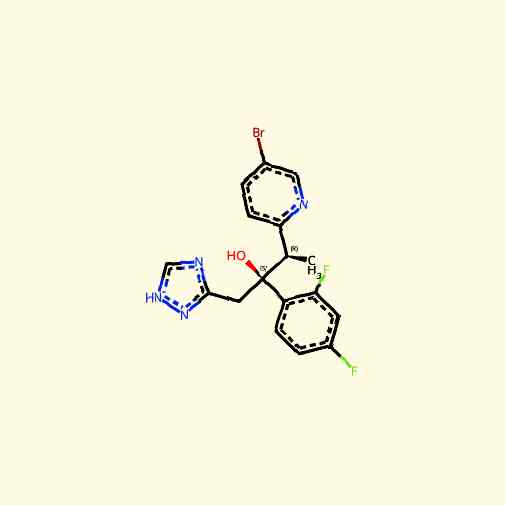 C[C@H](c1ccc(Br)cn1)[C@@](O)(Cc1nc[nH]n1)c1ccc(F)cc1F